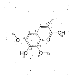 COc1cc(C=C(C)C(=O)O)cc(OC)c1O